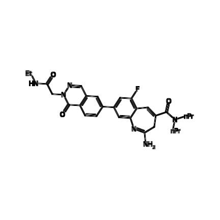 CCCN(CCC)C(=O)C1=Cc2c(F)cc(-c3ccc4c(=O)n(CC(=O)NCC)ncc4c3)cc2N=C(N)C1